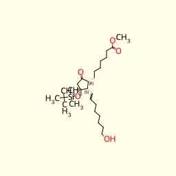 COC(=O)CCCCCC[C@H]1C(=O)C[C@@H](O[Si](C)(C)C(C)(C)C)[C@H]1C=CCCCCCCO